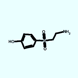 NCCS(=O)(=O)c1ccc(O)cc1